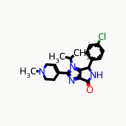 CC(C)n1c(C2=CCN(C)CC2)nc2c1C(c1ccc(Cl)cc1)NC2=O